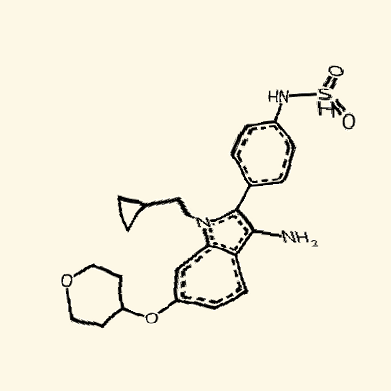 Nc1c(-c2ccc(N[SH](=O)=O)cc2)n(CC2CC2)c2cc(OC3CCOCC3)ccc12